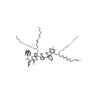 CCCCCCCCCCCCC(CCCCCCCCCC)Cc1cc(C)sc1-c1ccc(-c2ccc(-c3sc(C4=C(F)C(F)=C(C)C5N=NSC45)cc3CC(CCCCCCCCCC)CCCCCCCCCCCC)s2)s1